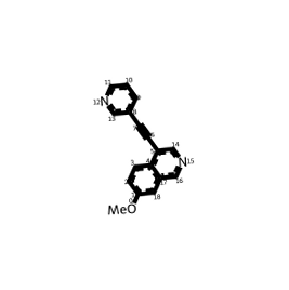 COc1ccc2c(C#Cc3cccnc3)cncc2c1